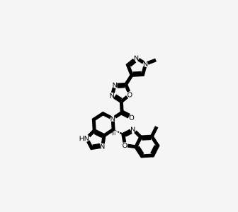 Cc1cccc2oc([C@@H]3c4nc[nH]c4CCN3C(=O)c3nnc(-c4cnn(C)c4)o3)nc12